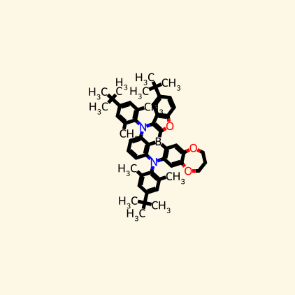 Cc1cc(C(C)(C)C)cc(C)c1N1c2cc3c(cc2B2c4oc5ccc(C(C)(C)C)cc5c4N(c4c(C)cc(C(C)(C)C)cc4C)c4cccc1c42)OCCCO3